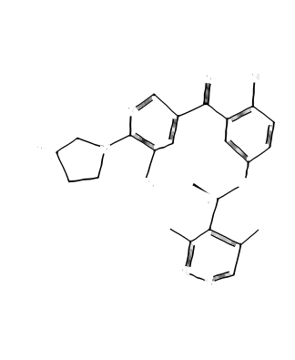 Cc1cnnc(C)c1[C@@H](C)Oc1ccc(N)c(C(=N)c2cnc(N3CC[C@H](O)C3)c(C#N)c2)c1